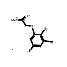 CCc1c(F)cc(F)cc1OCC(=O)OC